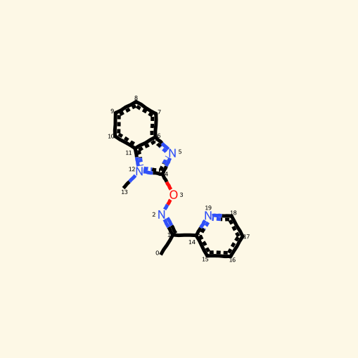 C/C(=N/Oc1nc2ccccc2n1C)c1ccccn1